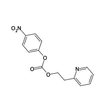 O=C(OCCc1ccccn1)Oc1ccc([N+](=O)[O-])cc1